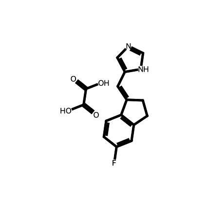 Fc1ccc2c(c1)CCC2=Cc1cnc[nH]1.O=C(O)C(=O)O